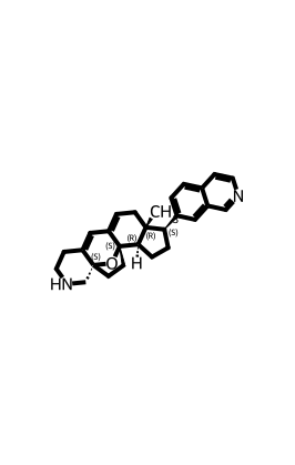 C[C@]12CC=C3C=C4CCNC[C@]45CC[C@]3(O5)[C@@H]1CC[C@@H]2c1ccc2ccncc2c1